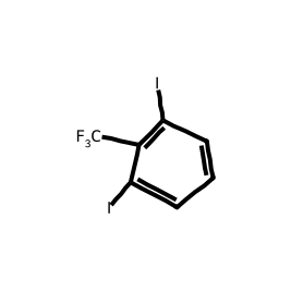 FC(F)(F)c1c(I)cccc1I